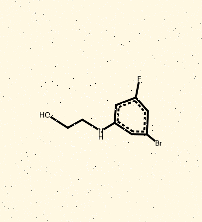 OCCNc1cc(F)cc(Br)c1